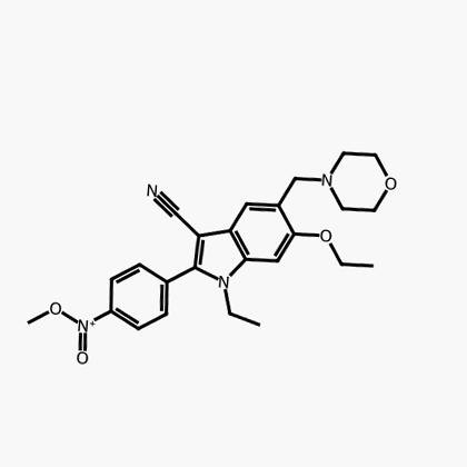 CCOc1cc2c(cc1CN1CCOCC1)c(C#N)c(-c1ccc([N+](=O)OC)cc1)n2CC